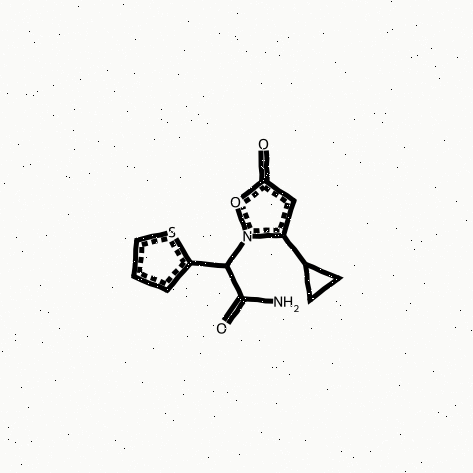 NC(=O)C(c1cccs1)n1oc(=O)cc1C1CC1